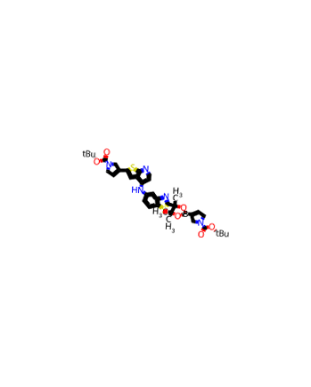 CC(C)(C)OC(=O)N1CC=C(B2OC(C)(C)C(C)(c3nc4cc(Nc5ccnc6sc(C7=CCN(C(=O)OC(C)(C)C)C7)cc56)ccc4s3)O2)C1